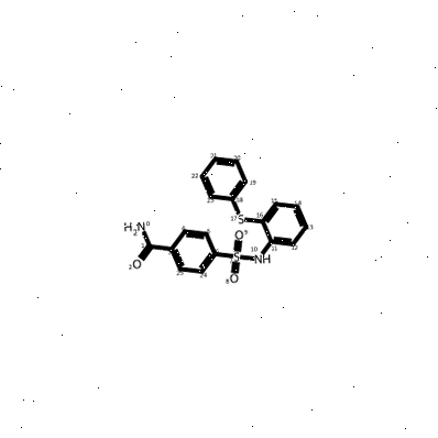 NC(=O)c1ccc(S(=O)(=O)Nc2ccccc2Sc2ccccc2)cc1